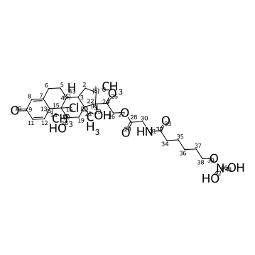 C[C@H]1CC2[C@@H]3CCC4=CC(=O)C=C[C@]4(C)C3(Cl)[C@@H](O)C[C@]2(C)[C@@]1(O)C(=O)COC(=O)CNC(=O)CCCCCON(O)O